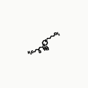 CCCCCN1CCN(CCC(=O)CCC)CC1.Cl.Cl